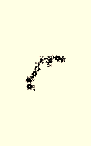 Cc1ncsc1-c1ccc([C@H](C)NC(=O)C2C[C@@H](O)CN2C(=O)[C@@H](NC(=O)CO[C@@H](C)CN2CCN(c3ccc(C(=O)NC4C(C)(C)C(Oc5ccc(C#N)c(Cl)c5)C4(C)C)cc3)CC2)C(C)(C)C)cc1